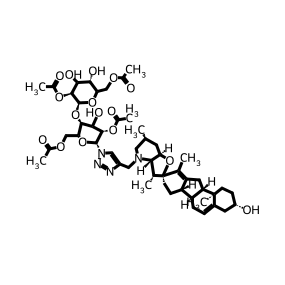 CC(=O)OCC1O[C@@H](O[C@@H]2C(COC(C)=O)O[C@@H](n3cc(CN4C[C@@H](C)C[C@H]5O[C@]6(CC[C@@H]7C(=C6C)C[C@H]6[C@H]7CC=C7C[C@@H](O)CC[C@@]76C)[C@H](C)[C@@H]54)nn3)[C@@H](OC(C)=O)C2O)[C@@H](OC(C)=O)C(O)[C@@H]1O